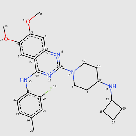 COc1cc2nc(N3CCC(NC4CCC4)CC3)nc(Nc3ccc(C)cc3F)c2cc1OC